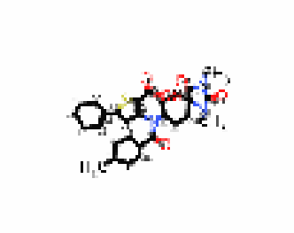 CC1CCC(C(=O)N(C2=C(C(=O)O)SC(C3=CCCCC3)C2)C2CCC3(CC2)C(=O)N(C)C(=O)N3C)CC1